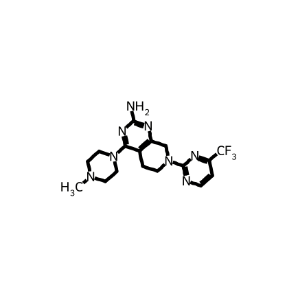 CN1CCN(c2nc(N)nc3c2CCN(c2nccc(C(F)(F)F)n2)C3)CC1